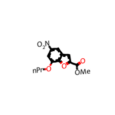 CCCOc1cc([N+](=O)[O-])cc2cc(C(=O)OC)oc12